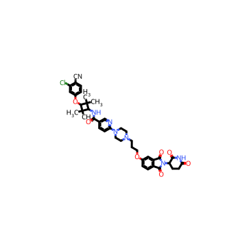 CC1(C)C(NC(=O)c2ccc(N3CCN(CCCOc4ccc5c(c4)C(=O)N(C4CCC(=O)NC4=O)C5=O)CC3)nc2)C(C)(C)C1Oc1ccc(C#N)c(Cl)c1